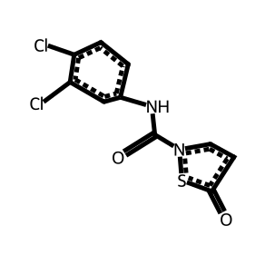 O=C(Nc1ccc(Cl)c(Cl)c1)n1ccc(=O)s1